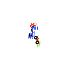 CS(=O)(=O)CC(=O)NCC#CCn1ccc2ncnc(Nc3ccc(Oc4cccc(C(F)(F)F)c4)c(Cl)c3)c21